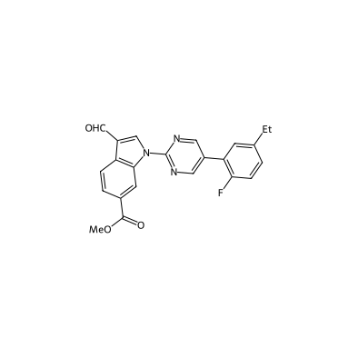 CCc1ccc(F)c(-c2cnc(-n3cc(C=O)c4ccc(C(=O)OC)cc43)nc2)c1